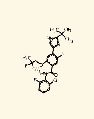 CC(C)(F)COc1cc(-c2c[nH]c(C(C)(C)O)n2)c(F)cc1C(=O)Nc1c(F)cccc1Cl